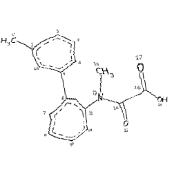 Cc1cccc(-c2ccccc2N(C)C(=O)C(=O)O)c1